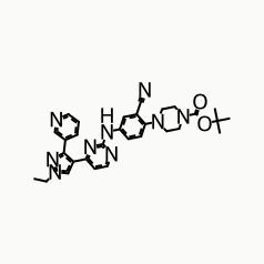 CCn1cc(-c2ccnc(Nc3ccc(N4CCN(C(=O)OC(C)(C)C)CC4)c(C#N)c3)n2)c(-c2cccnc2)n1